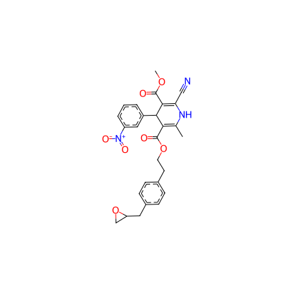 COC(=O)C1=C(C#N)NC(C)=C(C(=O)OCCc2ccc(CC3CO3)cc2)C1c1cccc([N+](=O)[O-])c1